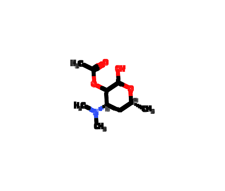 CC(=O)OC1C(O)O[C@H](C)C[C@@H]1N(C)C